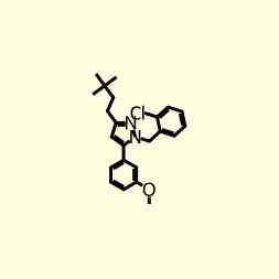 COc1cccc(-c2cc(CCC(C)(C)C)nn2Cc2ccccc2Cl)c1